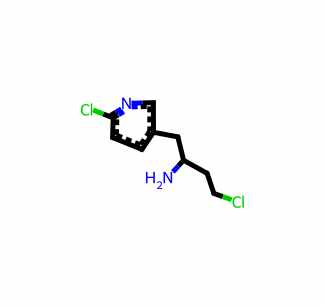 NC(CCCl)Cc1ccc(Cl)nc1